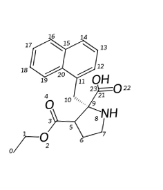 CCOC(=O)C1CCN[C@]1(Cc1cccc2ccccc12)C(=O)O